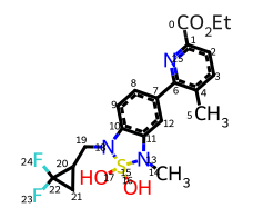 CCOC(=O)c1ccc(C)c(-c2ccc3c(c2)N(C)S(O)(O)N3CC2CC2(F)F)n1